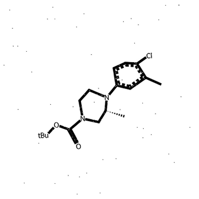 Cc1cc(N2CCN(C(=O)OC(C)(C)C)C[C@H]2C)ccc1Cl